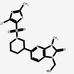 Cc1nc(C)c(S(=O)(=O)N2CCCC(c3ccc4c(n3)n(C)c(=O)n4CC(C)(C)C)C2)s1